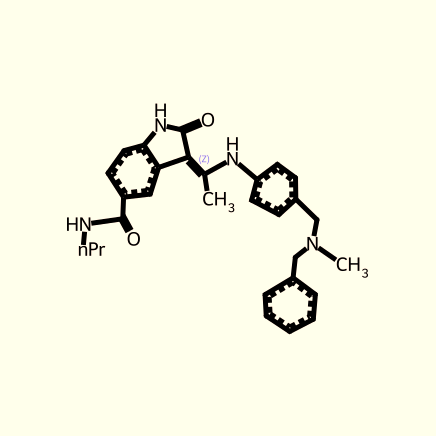 CCCNC(=O)c1ccc2c(c1)/C(=C(\C)Nc1ccc(CN(C)Cc3ccccc3)cc1)C(=O)N2